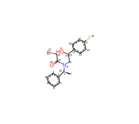 C[C@@H](c1ccccc1)N(C[C@@H](O)c1ccc(F)cc1)C(=O)CBr